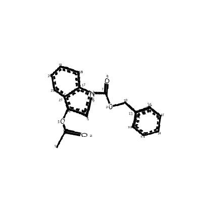 CC(=O)Oc1cn(C(=O)OCc2ccccc2)c2ccccc12